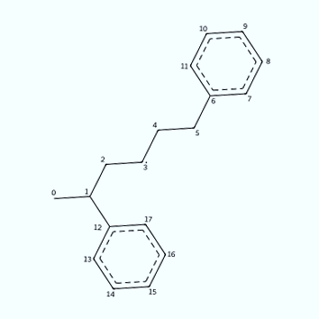 CC(C[CH]CCc1ccccc1)c1ccccc1